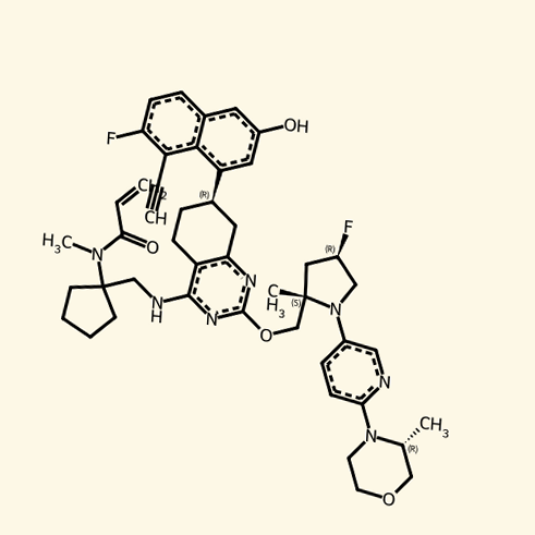 C#Cc1c(F)ccc2cc(O)cc([C@@H]3CCc4c(nc(OC[C@]5(C)C[C@@H](F)CN5c5ccc(N6CCOC[C@H]6C)nc5)nc4NCC4(N(C)C(=O)C=C)CCCC4)C3)c12